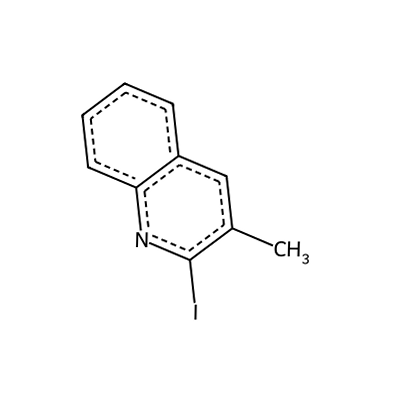 Cc1cc2ccccc2nc1I